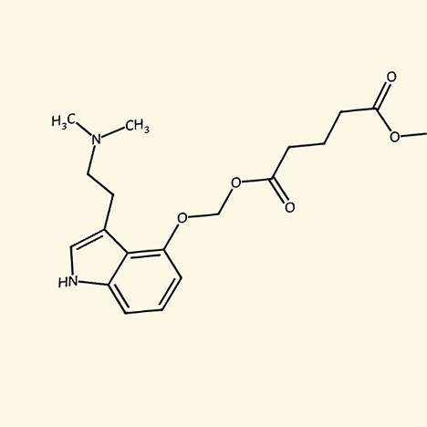 CN(C)CCc1c[nH]c2cccc(OCOC(=O)CCCC(=O)OC(C)(C)C)c12